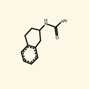 CCCC(=O)NC1CCc2ccccc2C1